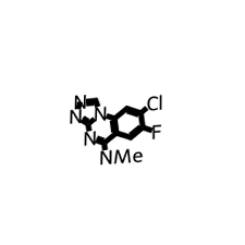 CNc1nc2nncn2c2cc(Cl)c(F)cc12